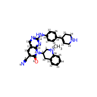 CN1CC(n2c(=O)c(C#N)cc3cnc(Nc4ccc(C5=CCNCC5)cc4)nc32)Cc2ccccc21